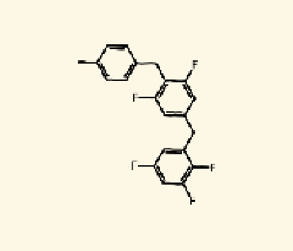 Cc1ccc(Cc2c(F)cc(Cc3cc(F)cc(F)c3F)cc2F)cc1